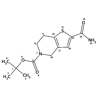 CC(C)(C)OC(=O)N1CCc2sc(C(N)=O)cc2C1